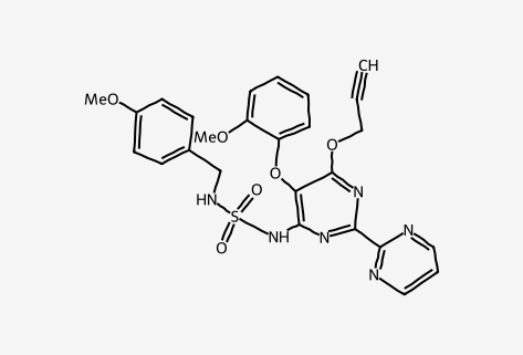 C#CCOc1nc(-c2ncccn2)nc(NS(=O)(=O)NCc2ccc(OC)cc2)c1Oc1ccccc1OC